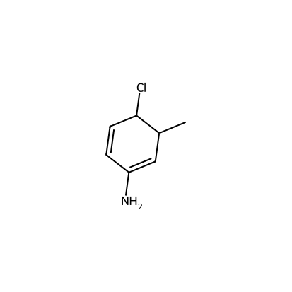 CC1C=C(N)C=CC1Cl